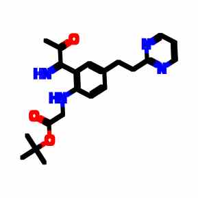 CC(=O)C(=N)c1cc(CCc2ncccn2)ccc1NCC(=O)OC(C)(C)C